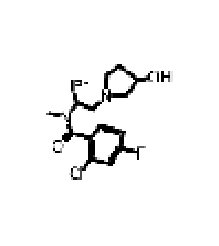 CC(C)C(CN1CCC(O)C1)N(C)C(=O)c1ccc(F)cc1Cl